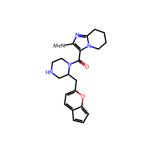 CNc1nc2n(c1C(=O)N1CCNCC1Cc1ccc3cccc-3o1)CCCC2